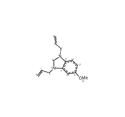 C=CCN1CN(CC=C)c2cc(OC)ccc21